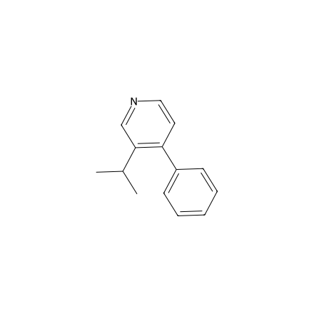 CC(C)c1cnccc1-c1ccccc1